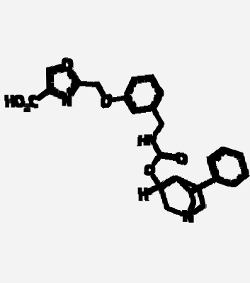 O=C(NCc1cccc(OCc2nc(C(=O)O)co2)c1)O[C@H]1CN2CCC1C(c1ccccc1)C2